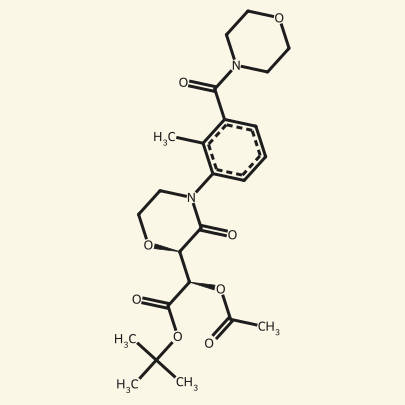 CC(=O)O[C@@H](C(=O)OC(C)(C)C)[C@H]1OCCN(c2cccc(C(=O)N3CCOCC3)c2C)C1=O